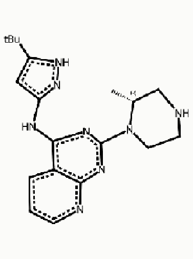 C[C@@H]1CNCCN1c1nc(Nc2cc(C(C)(C)C)[nH]n2)c2cccnc2n1